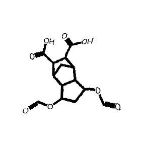 O=COC1CC(OC=O)C2C3CC(C(C(=O)O)C3C(=O)O)C12